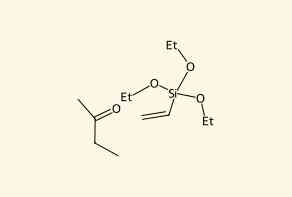 C=C[Si](OCC)(OCC)OCC.CCC(C)=O